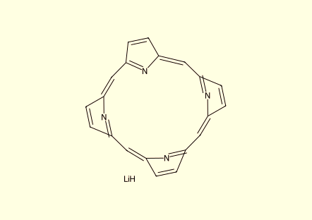 C1=CC2=NC1=CC1=NC(=CC3=NC(=CC4=NC(=C2)C=C4)C=C3)C=C1.[LiH]